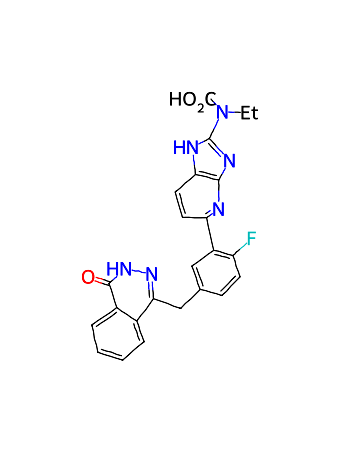 CCN(C(=O)O)c1nc2nc(-c3cc(Cc4n[nH]c(=O)c5ccccc45)ccc3F)ccc2[nH]1